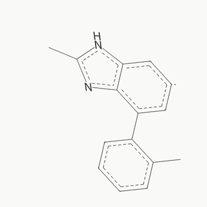 Cc1nc2c(-c3ccccc3C)c[c]cc2[nH]1